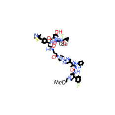 COCCN1C[C@@H](NC(=O)Nc2c(C)c(-c3cnc(N4CCN(C(=O)CCCNC(=O)C[C@H](NC(=O)[C@@H]5C[C@@H](O)CN5C(=O)[C@@H](NC(=O)C5(F)CC5)C(C)(C)C)c5ccc(-c6scnc6C)cc5)CC4)nc3)nn2-c2ccccc2)[C@H](c2cccc(F)c2)C1